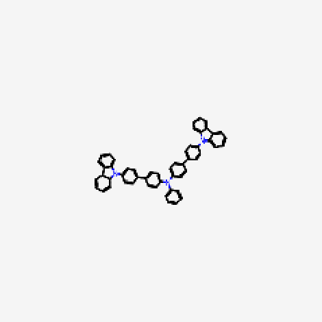 C1=CC2c3ccccc3N(c3ccc(-c4ccc(N(c5ccccc5)c5ccc(-c6ccc(-n7c8ccccc8c8ccccc87)cc6)cc5)cc4)cc3)C2C=C1